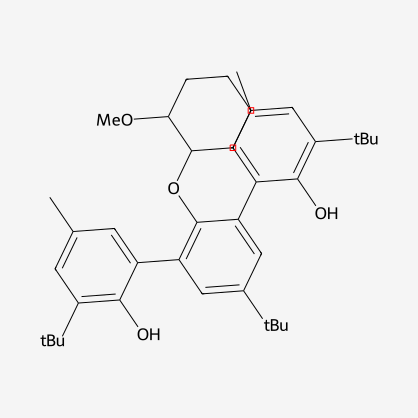 COC1CCCCC1Oc1c(-c2cc(C)cc(C(C)(C)C)c2O)cc(C(C)(C)C)cc1-c1cc(C)cc(C(C)(C)C)c1O